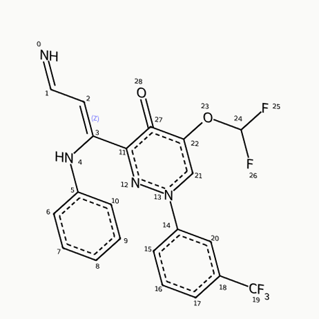 N=C/C=C(\Nc1ccccc1)c1nn(-c2cccc(C(F)(F)F)c2)cc(OC(F)F)c1=O